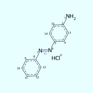 Cl.Nc1ccc(/N=N/c2ccccc2)cc1